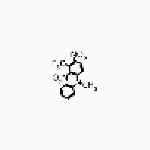 CN(c1ccccc1)c1ccc([N+](=O)[O-])c(C(F)(F)F)c1[N+](=O)[O-]